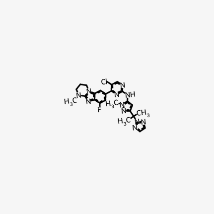 CN1CCCn2c1nc1c(F)cc(-c3nc(Nc4cc(C(C)(C)n5nccn5)nn4C)ncc3Cl)cc12